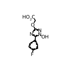 O=C(O)COc1nc(-c2ccc(F)cc2)n(O)n1